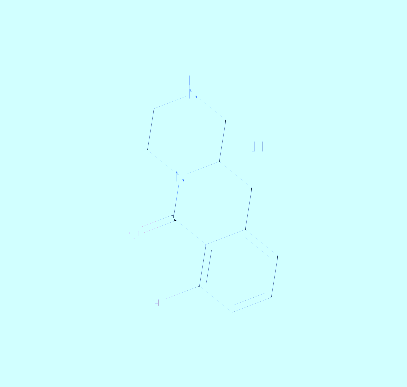 O=C1c2c(Br)cccc2C[C@@H]2CNCCN12